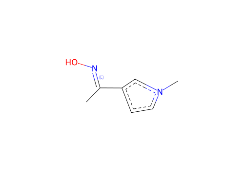 C/C(=N\O)c1ccn(C)c1